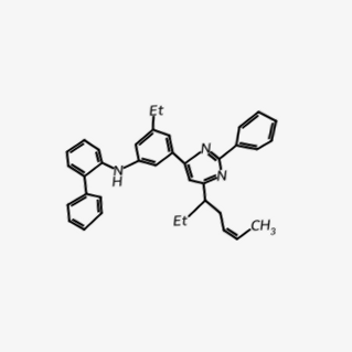 C/C=C\CC(CC)c1cc(-c2cc(CC)cc(Nc3ccccc3-c3ccccc3)c2)nc(-c2ccccc2)n1